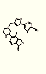 Cc1cc(-n2cc(CN3CCNC(c4ccc5c(c4C)COC5=O)C3)cn2)ncc1C#N